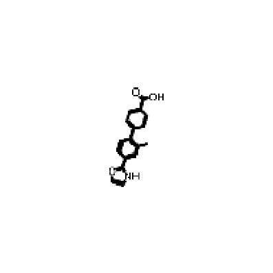 Cc1cc(C2NC=CO2)ccc1-c1ccc(C(=O)O)cc1